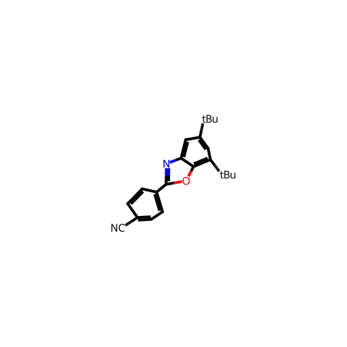 CC(C)(C)c1cc(C(C)(C)C)c2oc(-c3ccc(C#N)cc3)nc2c1